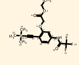 CCOC(=O)COc1cc(NC(=O)C(F)(F)F)ccc1C#C[Si](C)(C)C